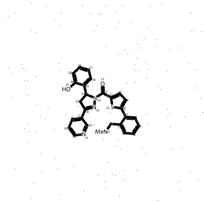 CNCc1ccccc1-c1ccc(C(=O)N2N=C(c3cccnc3)CC2c2ccccc2O)s1